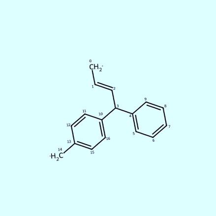 [CH2]C=CC(c1ccccc1)c1ccc([CH2])cc1